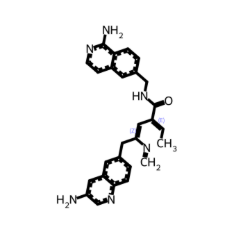 C=N/C(=C\C(=C/C)C(=O)NCc1ccc2c(N)nccc2c1)Cc1ccc2ncc(N)cc2c1